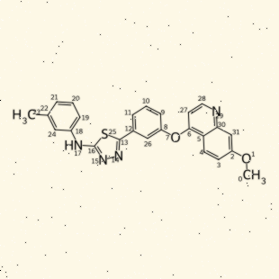 COc1ccc2c(Oc3cccc(-c4nnc(Nc5cccc(C)c5)s4)c3)ccnc2c1